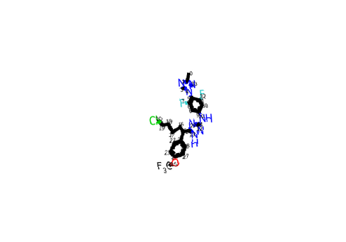 Cc1ncn(-c2c(F)cc(Nc3n[nH]c(C(CCCCCl)c4ccc(OC(F)(F)F)cc4)n3)cc2F)n1